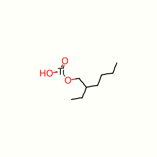 CCCCC(CC)C[O][Ti](=[O])[OH]